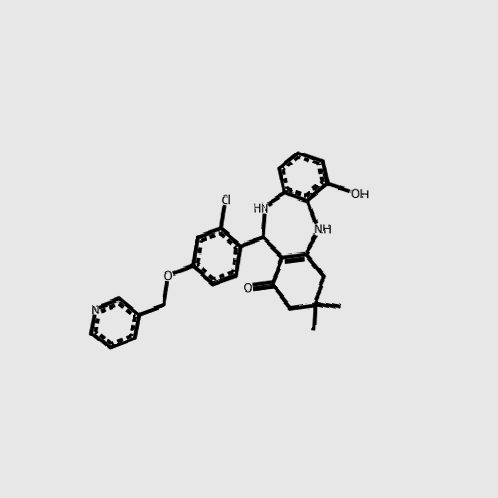 CC1(C)CC(=O)C2=C(C1)Nc1c(O)cccc1NC2c1ccc(OCc2cccnc2)cc1Cl